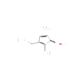 CCC1=C(C)C(=C=O)C=C1.[Mn]